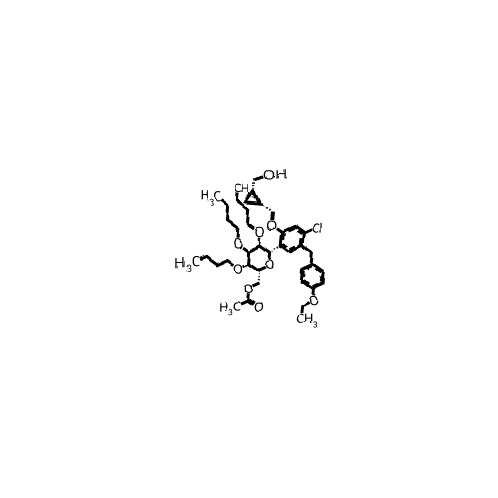 CCCCOC1[C@@H](OCCCC)[C@H](c2cc(Cc3ccc(OCC)cc3)c(Cl)cc2OC[C@@H]2C[C@@H]2CO)O[C@H](COC(C)=O)[C@H]1OCCCC